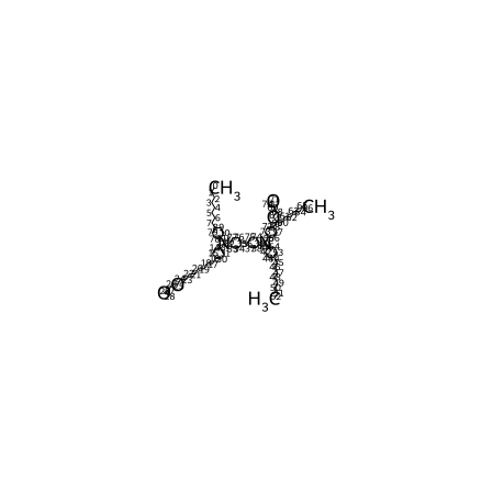 CCCCCCCCc1ccc(N(c2ccc(CCCCCCCCOCC3CO3)cc2)c2ccc(-c3ccc(N(c4ccc(CCCCCCCC)cc4)c4ccc(C(CCCCCCC)OCC5CO5)cc4)cc3)cc2)cc1